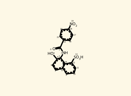 O=C(Nc1c(O)ccc2cccc(S(=O)(=O)O)c12)c1ccc([N+](=O)[O-])cc1